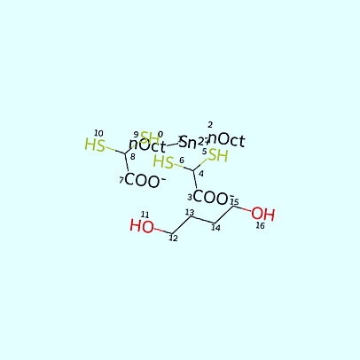 CCCCCCC[CH2][Sn+2][CH2]CCCCCCC.O=C([O-])C(S)S.O=C([O-])C(S)S.OCCCCO